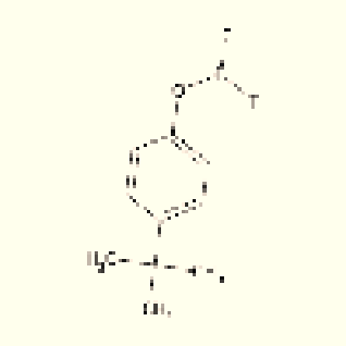 CC(C)(C)c1ccc(OP(F)F)cc1